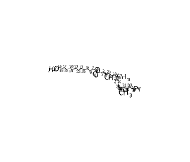 C/C(=C\COC(=O)CCCCCCCCCCCCCO)CCCC(C)CCCC(C)CCCC(C)C